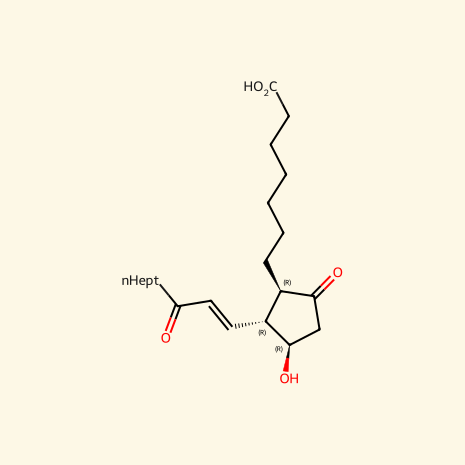 CCCCCCCC(=O)C=C[C@H]1[C@H](O)CC(=O)[C@@H]1CCCCCCC(=O)O